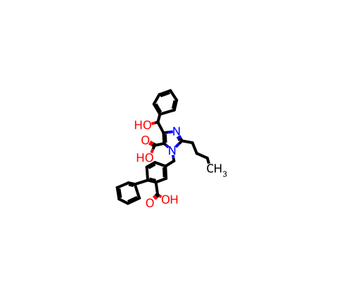 CCCCc1nc(C(O)c2ccccc2)c(C(=O)O)n1Cc1ccc(-c2ccccc2)c(C(=O)O)c1